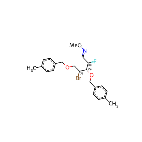 CON=C[C@@H](F)[C@H](OCc1ccc(C)cc1)[C@@H](Br)COCc1ccc(C)cc1